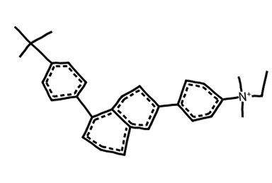 CC[N+](C)(C)c1ccc(-c2ccc3c(-c4ccc(C(C)(C)C)cc4)cccc3c2)cc1